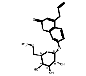 C=CCc1cc(=O)oc2cc(O[C@@H]3O[C@H](COS(=O)(=O)O)[C@H](O)[C@H](O)[C@H]3O)ccc12